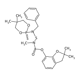 CN(SN(Cc1ccccc1)P1(=S)OCC(C)(C)CO1)C(=O)Oc1cccc2c1OC(C)(C)C2